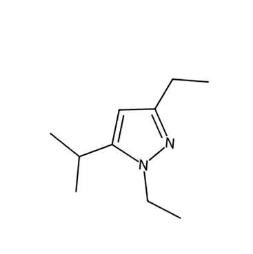 CCc1cc(C(C)C)n(CC)n1